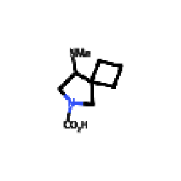 CNC1CN(C(=O)O)CC12CCC2